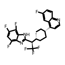 Fc1ccc2nccc([C@H]3CC[C@@H]([C@H](c4nc5c(F)cc(F)c(F)c5[nH]4)C(F)(F)F)CC3)c2c1